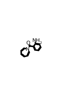 Nc1ccccc1C(=O)N1C=CC=CC=C1